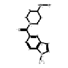 CC(C)NC1CCN(C(=O)c2ccc3c(ccn3C)c2)CC1